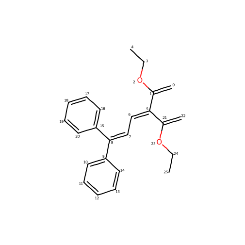 C=C(OCC)C(=CC=C(c1ccccc1)c1ccccc1)C(=C)OCC